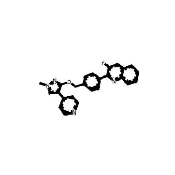 Cn1cc(-c2ccncc2)c(OCc2c#cc(-c3nc4ccccc4cc3F)cc2)n1